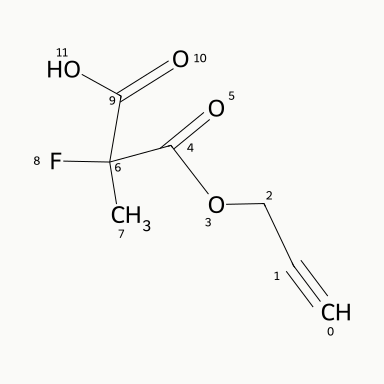 C#CCOC(=O)C(C)(F)C(=O)O